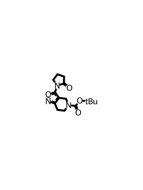 CC(C)(C)OC(=O)N1CCc2noc(N3CCCC3=O)c2C1